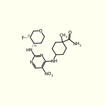 CC1(C(N)=O)CCC(Nc2nc(N[C@H]3CCOC[C@H]3F)ncc2[N+](=O)[O-])CC1